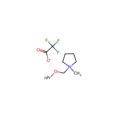 CCCOC[N+]1(C)CCCC1.O=C([O-])C(F)(F)F